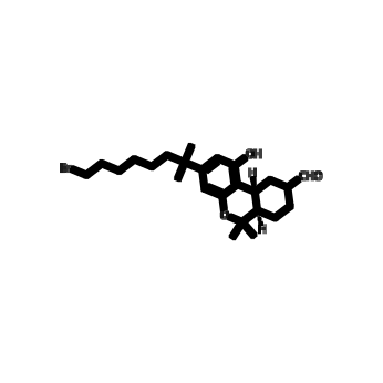 CC(C)(CCCCCCBr)c1cc(O)c2c(c1)OC(C)(C)[C@@H]1CCC(C=O)C[C@@H]21